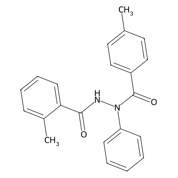 Cc1ccc(C(=O)N(NC(=O)c2ccccc2C)c2ccccc2)cc1